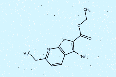 CCOC(=O)c1sc2nc(CC)ccc2c1N